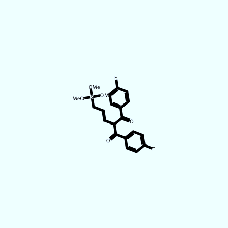 CO[Si](CCCC(C(=O)c1ccc(F)cc1)C(=O)c1ccc(F)cc1)(OC)OC